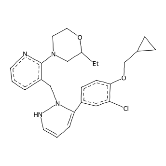 CCC1CN(c2ncccc2CN2NC=CC=C2c2ccc(OCC3CC3)c(Cl)c2)CCO1